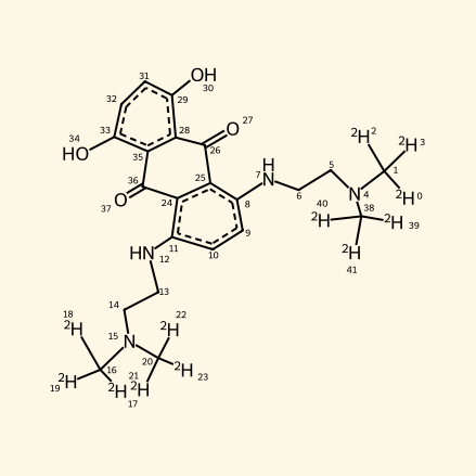 [2H]C([2H])([2H])N(CCNc1ccc(NCCN(C([2H])([2H])[2H])C([2H])([2H])[2H])c2c1C(=O)c1c(O)ccc(O)c1C2=O)C([2H])([2H])[2H]